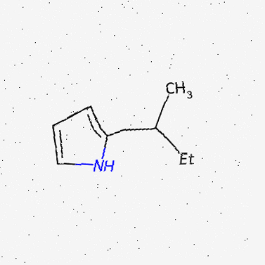 [CH2]CC(C)c1ccc[nH]1